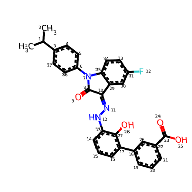 CC(C)c1ccc(N2C(=O)C(=NNc3cccc(-c4cccc(C(=O)O)c4)c3O)c3cc(F)ccc32)cc1